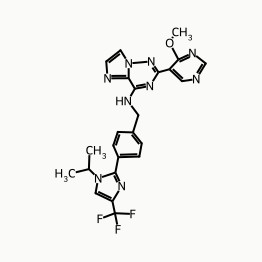 COc1ncncc1-c1nc(NCc2ccc(-c3nc(C(F)(F)F)cn3C(C)C)cc2)c2nccn2n1